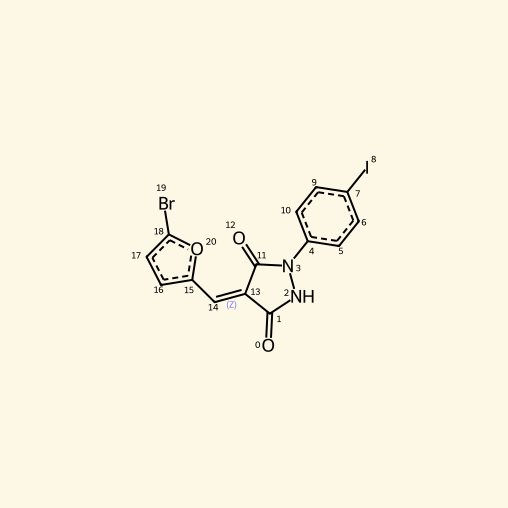 O=C1NN(c2ccc(I)cc2)C(=O)/C1=C\c1ccc(Br)o1